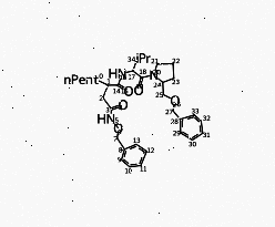 CCCCCC(CC(=O)NOCc1ccccc1)C(=O)NC(C(=O)N1CCCC1COCc1ccccc1)C(C)C